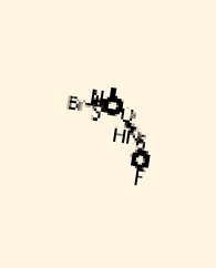 Cc1cc(OCCNSc2ccc(F)cc2)cc2sc(Br)nc12